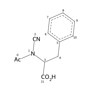 CC(=O)N(C#N)C(Cc1ccccc1)C(=O)O